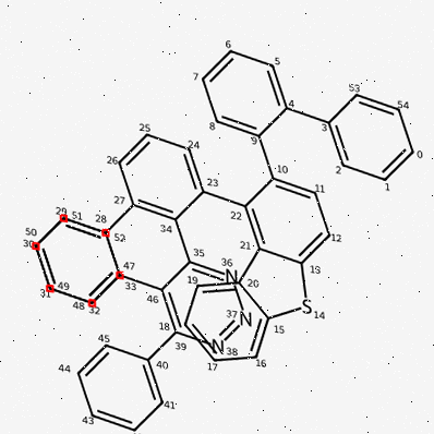 c1ccc(-c2ccccc2-c2ccc3sc4ccccc4c3c2-c2cccc(-c3ccccc3)c2-c2nnnc(-c3ccccc3)c2-c2ccccc2)cc1